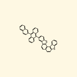 c1ccc2cc(-c3c4ccccc4c(-c4ccc5sc6c(ccc7ccc8sc9ccccc9c8c76)c5c4)c4ccccc34)ccc2c1